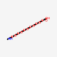 CCNCCOCCOCCOCCOCCOCCOCCOCCOCCOCCOCCOCCC(=O)O